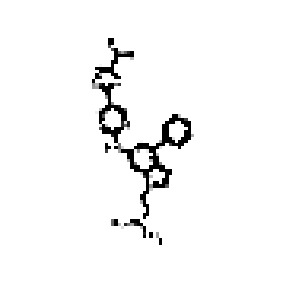 CN(C)CCn1cnc2c(-c3ccccc3)cc(Nc3ncc(-c4nnc(C(F)F)o4)cn3)cc21